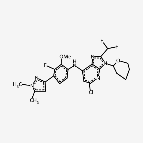 COc1c(Nc2cc(Cl)nc3c2nc(C(F)F)n3C2CCCCO2)ccc(-c2cc(C)n(C)n2)c1F